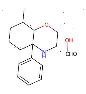 CC1CCCC2(c3ccccc3)NCCOC12.O=CO